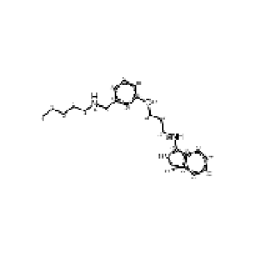 CCCCCNCc1cccc(OCCCNc2nsc3ccccc23)c1